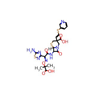 CC(C)(ON=C(C(=O)NC1C(=O)N2CC(C=CSc3cccnc3)(C(=O)O)CS[C@H]12)c1nsc(N)n1)C(=O)O